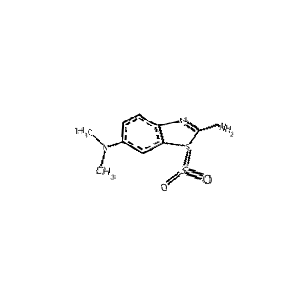 CN(C)c1ccc2c(c1)S(=S(=O)=O)C(N)=N2